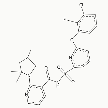 CC1CN(c2ncccc2C(=O)NS(=O)(=O)c2cccc(Oc3cccc(Cl)c3F)n2)C(C)(C)C1